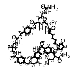 CC(C)[C@H](NC(=O)CCCCCN1C(=O)C=CC1=O)C(=O)N[C@@H](CCCNC(N)=O)C(=O)Nc1ccc(COC(=O)NCC(F)(F)CNC(=O)c2ccc(CN3CCc4ncc(NC(=O)c5ccc6c(c5)N=C(N)CC(C(N)=O)=C6)cc4C3)cc2)cc1